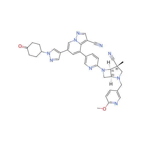 COc1ccc(CN2C[C@@](C)(C#N)[C@H]3[C@@H]2CN3c2ccc(-c3cc(-c4cnn(C5CCC(=O)CC5)c4)cn4ncc(C#N)c34)cn2)cn1